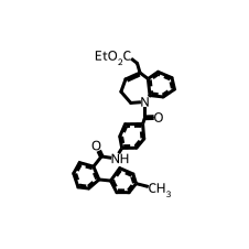 CCOC(=O)CC1=CCCN(C(=O)c2ccc(NC(=O)c3ccccc3-c3ccc(C)cc3)cc2)c2ccccc21